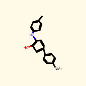 CNc1ccc(-c2ccc(Nc3ccc(C)cc3)c(O)c2)cc1